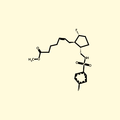 COC(=O)CCC/C=C\C[C@@H]1[C@@H](CNS(=O)(=O)c2ccc(F)cc2)CC[C@H]1F